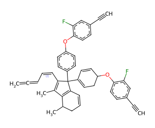 C#Cc1ccc(Oc2ccc(C3(C4=CCC(Oc5ccc(C#C)cc5F)C=C4)C4=C(C(C)=C3/C=C\C=C=C)C(C)CC=C4)cc2)c(F)c1